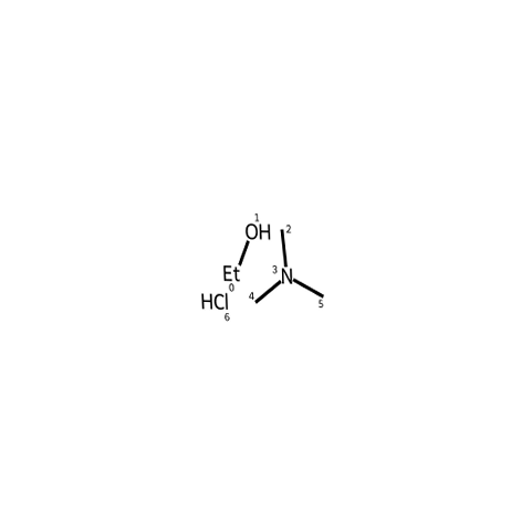 CCO.CN(C)C.Cl